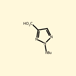 CCCCn1ncc(C(=O)O)n1